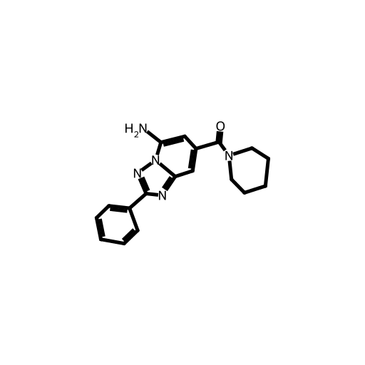 Nc1cc(C(=O)N2CCCCC2)cc2nc(-c3ccccc3)nn12